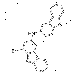 Brc1cc(Nc2ccc3sc4ccccc4c3c2)cc2c1sc1ccccc12